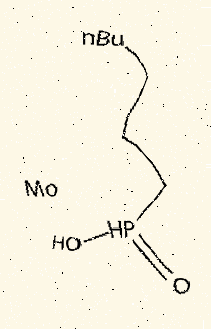 CCCCCCC[PH](=O)O.[Mo]